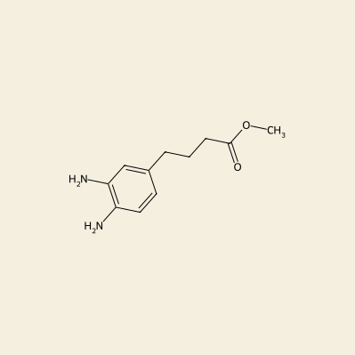 COC(=O)CCCc1ccc(N)c(N)c1